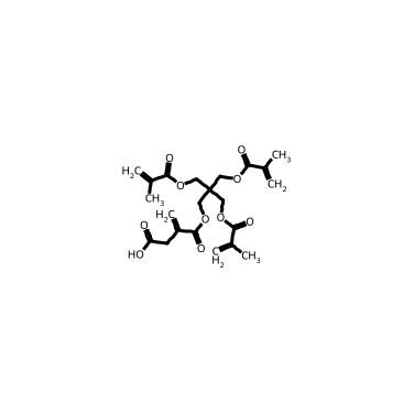 C=C(C)C(=O)OCC(COC(=O)C(=C)C)(COC(=O)C(=C)C)COC(=O)C(=C)CC(=O)O